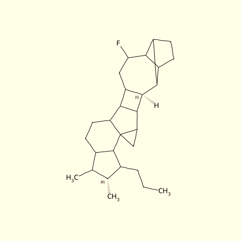 CCCC1C2C(CCC3C4C5CC(F)C6C7CCC6C7[C@H]5C4C4CC342)C(C)[C@H]1C